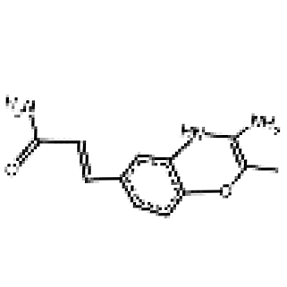 CC1=C(N)Nc2cc(C=CC(N)=O)ccc2O1